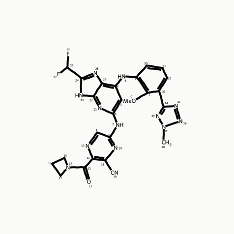 COc1c(Nc2cc(Nc3cnc(C(=O)N4CCC4)c(C#N)n3)nc3[nH]c(C(F)F)nc23)cccc1-c1nnn(C)n1